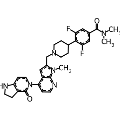 CN(C)C(=O)c1cc(F)c(C2CCN(Cc3cc4c(-n5ccc6c(c5=O)CCN6)ccnc4n3C)CC2)c(F)c1